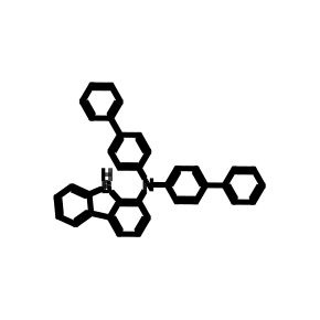 B1c2ccccc2-c2cccc(N(c3ccc(-c4ccccc4)cc3)c3ccc(-c4ccccc4)cc3)c21